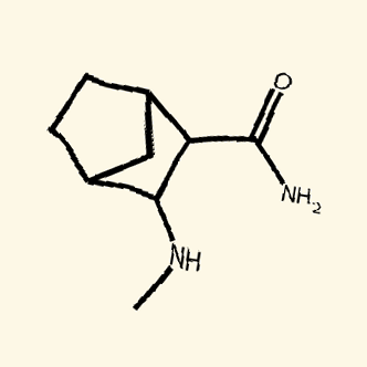 CNC1C2CCC(C2)C1C(N)=O